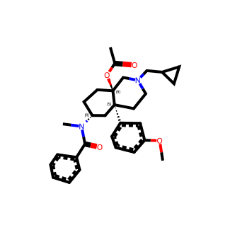 COc1cccc([C@@]23CCN(CC4CC4)C[C@@]2(OC(C)=O)CC[C@@H](N(C)C(=O)c2ccccc2)C3)c1